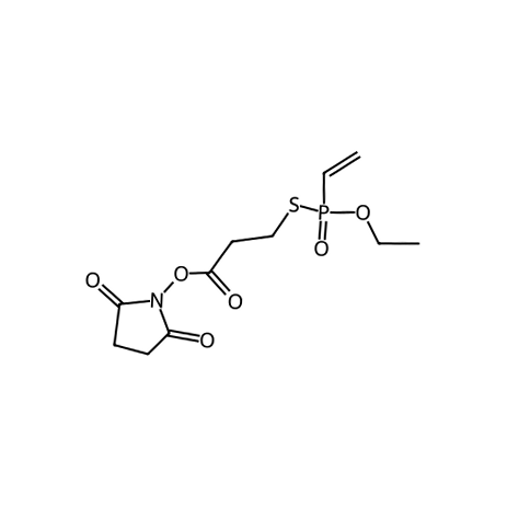 C=CP(=O)(OCC)SCCC(=O)ON1C(=O)CCC1=O